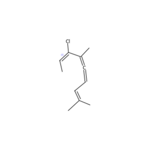 C/C=C(/Cl)C(C)=C=CC=C(C)C